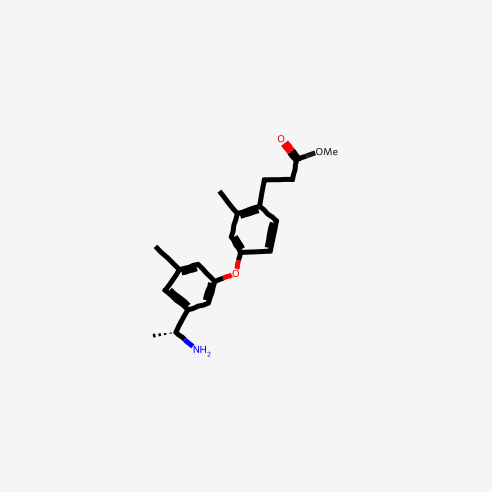 COC(=O)CCc1ccc(Oc2cc(C)cc([C@@H](C)N)c2)cc1C